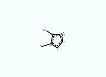 Cc1cc[pH][c]1[Sb]